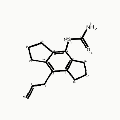 C=CCc1c2c(c(NC(N)=O)c3c1CCC3)CCC2